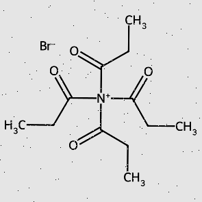 CCC(=O)[N+](C(=O)CC)(C(=O)CC)C(=O)CC.[Br-]